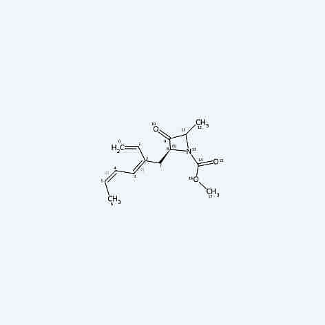 C=C/C(=C\C=C/C)C[C@H]1C(=O)C(C)N1C(=O)OC